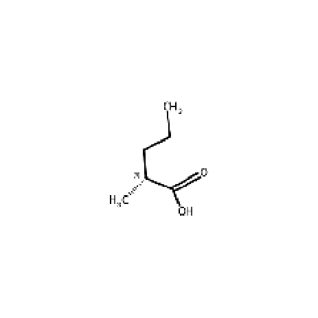 CCC[C@@H](C)C(=O)O